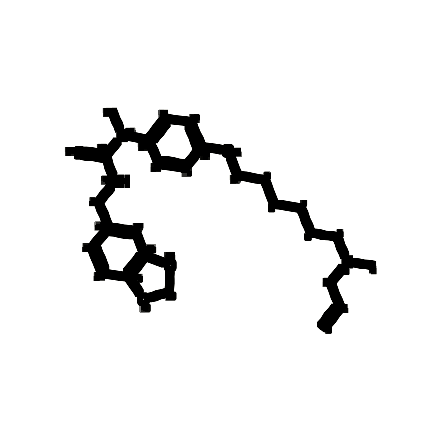 C=CCN(C)CCCCCCOc1ccc(N(C)C(=S)NCc2ccc3c(c2)OCO3)cc1